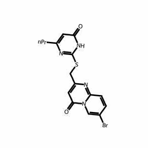 CCCc1cc(=O)[nH]c(SCc2cc(=O)n3cc(Br)ccc3n2)n1